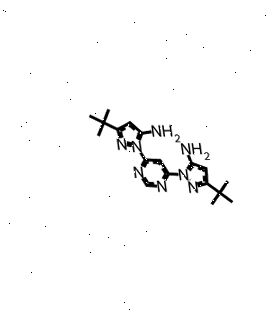 CC(C)(C)c1cc(N)n(-c2cc(-n3nc(C(C)(C)C)cc3N)ncn2)n1